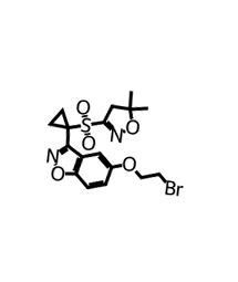 CC1(C)CC(S(=O)(=O)C2(c3noc4ccc(OCCBr)cc34)CC2)=NO1